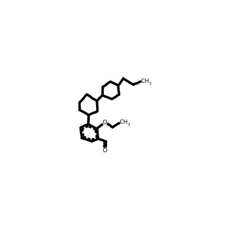 CCCC1CCC(C2CCCC(c3cccc(C=O)c3OCC)C2)CC1